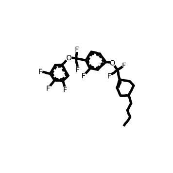 CCCCC1CC=C(C(F)(F)Oc2ccc(C(F)(F)Oc3cc(F)c(F)c(F)c3)c(F)c2)CC1